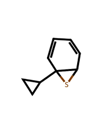 C1=CC2SC2(C2CC2)C=C1